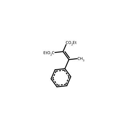 CCOC(=O)C(C(=O)OCC)=C(C)c1ccccc1